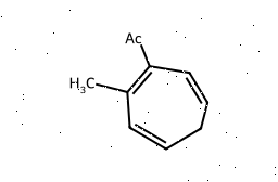 CC(=O)C1=C(C)C=CCC=C1